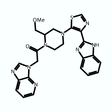 COCC1CN(c2scnc2-c2nc3ccccc3[nH]2)CCN1C(=O)Cn1cnc2cccnc21